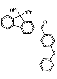 CCCC1(CCC)c2ccccc2-c2ccc(C(=O)c3ccc(Sc4ccccc4)cc3)cc21